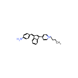 CCCC[n+]1ccc(C2=C/C(=C/c3ccc(N)cc3)c3ccccc32)cc1